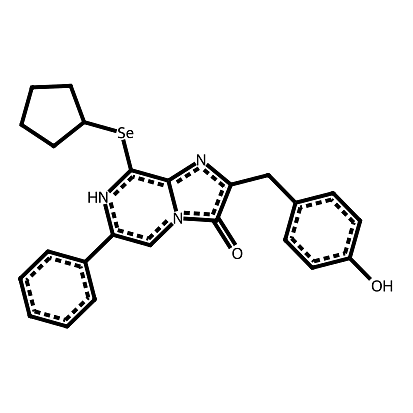 O=c1c(Cc2ccc(O)cc2)nc2c([Se]C3CCCC3)[nH]c(-c3ccccc3)cn1-2